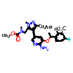 COc1nn(C)c(CN(C)C(=O)OC(C)(C)C)c1-c1cnc(N)c(OC(C)c2ccc(F)cc2C(=O)O)c1